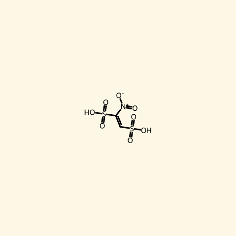 O=[N+]([O-])C(=CS(=O)(=O)O)S(=O)(=O)O